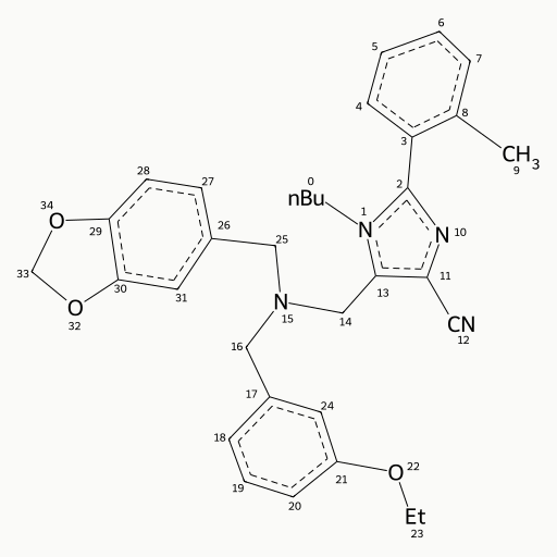 CCCCn1c(-c2ccccc2C)nc(C#N)c1CN(Cc1cccc(OCC)c1)Cc1ccc2c(c1)OCO2